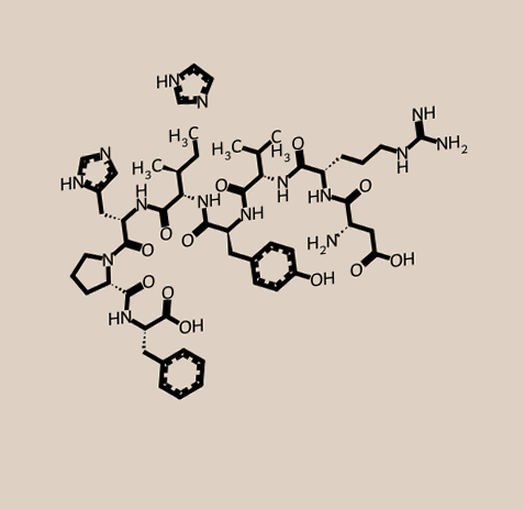 CC[C@H](C)[C@H](NC(=O)[C@H](Cc1ccc(O)cc1)NC(=O)[C@@H](NC(=O)[C@H](CCCNC(=N)N)NC(=O)[C@@H](N)CC(=O)O)C(C)C)C(=O)N[C@@H](Cc1cnc[nH]1)C(=O)N1CCC[C@H]1C(=O)N[C@@H](Cc1ccccc1)C(=O)O.c1c[nH]cn1